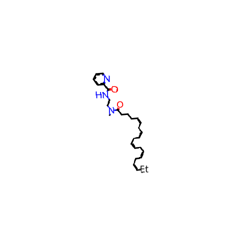 CC/C=C\C/C=C\C/C=C\C/C=C\C/C=C\CCCC(=O)N(C)CCNC(=O)c1ccccn1